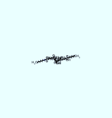 CCCCCCC/C=C/C(=O)N(O)CCCC[C@H](NC(=O)CC(O)(CC(=O)N[C@@H](CCCCN(O)C(=O)CCCCCCC)C(=O)O)C(=O)O)C(=O)O